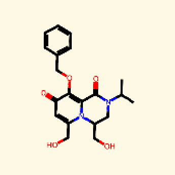 CC(C)N1CC(CO)n2c(CO)cc(=O)c(OCc3ccccc3)c2C1=O